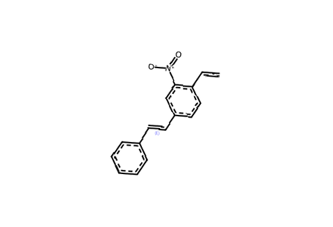 C=Cc1ccc(/C=C/c2ccccc2)cc1[N+](=O)[O-]